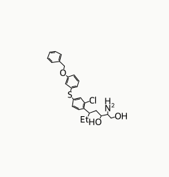 CCC(CC(O)C(N)CO)c1ccc(Sc2cccc(OCc3ccccc3)c2)cc1Cl